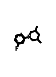 CC1CC(C)CN(c2[c]ccc(F)c2)C1